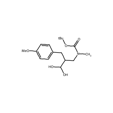 COc1ccc(CC(CN(C)C(=O)OC(C)(C)C)C(O)O)cc1